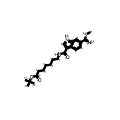 CSC(=N)c1ccc2c(C(=O)NCCCCCCC(=O)OC(C)(C)C)c[nH]c2c1